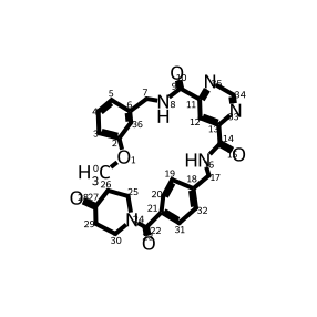 COc1cccc(CNC(=O)c2cc(C(=O)NCc3ccc(C(=O)N4CCC(=O)CC4)cc3)ncn2)c1